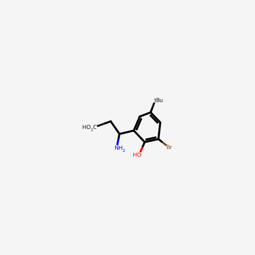 CC(C)(C)c1cc(Br)c(O)c(C(N)CC(=O)O)c1